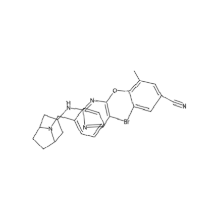 Cc1cc(C#N)cc(C)c1Oc1nc(NC2CC3CCC(C2)N3Cc2ccccc2)ncc1Br